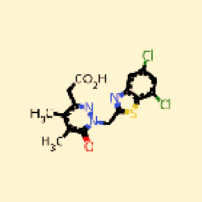 Cc1c(CC(=O)O)nn(Cc2nc3cc(Cl)cc(Cl)c3s2)c(=O)c1C